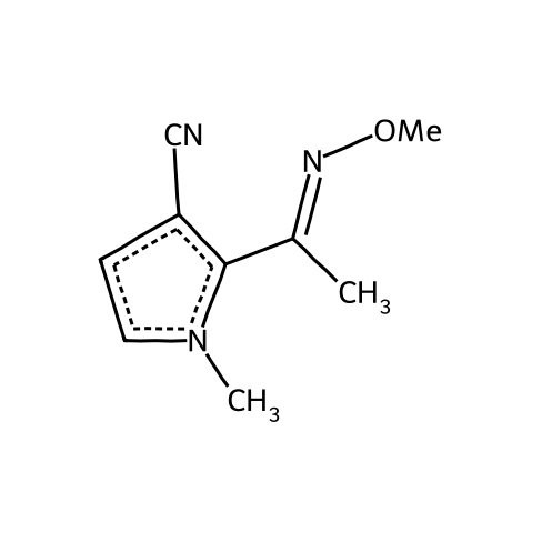 CON=C(C)c1c(C#N)ccn1C